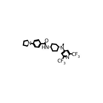 CN(c1cc(C(F)(F)F)nc(C(F)(F)F)c1)[C@H]1CC[C@@H](NC(=O)c2ccc(N3CCCC3)cc2)CC1